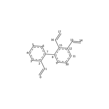 C=Cc1ccccc1-c1cccc(C=C)c1C=C